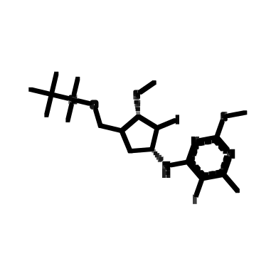 CSc1nc(C)c(I)c(N[C@@H]2CC(CO[Si](C)(C)C(C)(C)C)[C@H](SC)C2I)n1